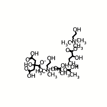 CC(=O)O.CC(=O)O.CCC(O)C(=O)[O-].C[N+](C)(C)CCO.C[N+](C)(C)CCO.O=C(O)CC(O)(CC(=O)O)C(=O)[O-]